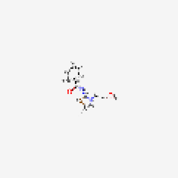 COCCn1cc(C)s/c1=N\C(=O)c1ccccc1C